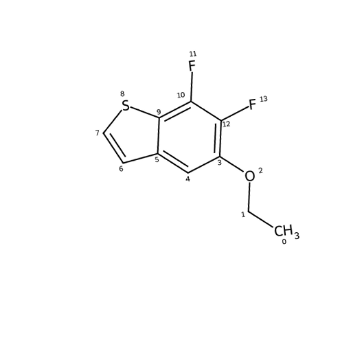 CCOc1cc2ccsc2c(F)c1F